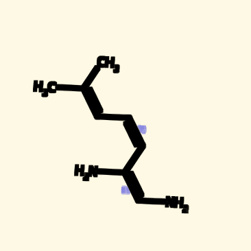 CC(C)=C/C=C\C(N)=C/N